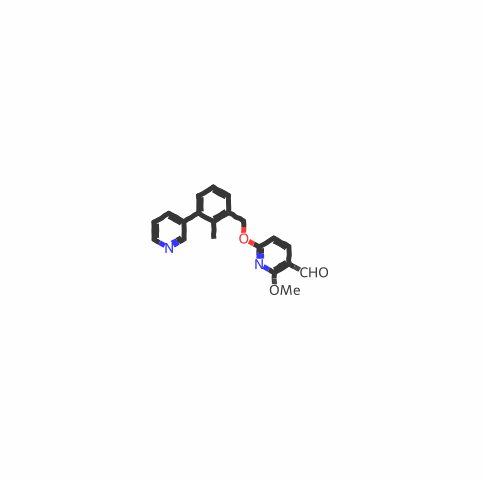 COc1nc(OCc2cccc(-c3cccnc3)c2C)ccc1C=O